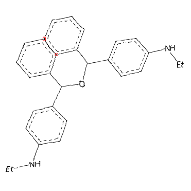 CCNc1ccc(C(OC(c2ccccc2)c2ccc(NCC)cc2)c2ccccc2)cc1